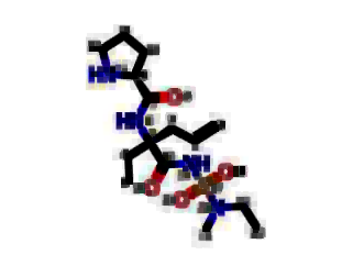 C=CC[C@@](CC)(NC(=O)[C@@H]1CCCN1)C(=O)NS(=O)(=O)N(C)CC